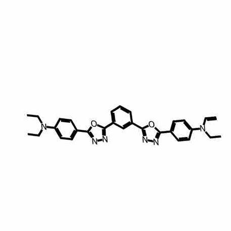 C=CN(CC)c1ccc(-c2nnc(-c3cccc(-c4nnc(-c5ccc(N(CC)CC)cc5)o4)c3)o2)cc1